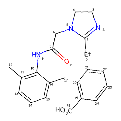 CCC1=NCCN1CC(=O)Nc1c(C)cccc1C.O=C(O)c1ccccc1